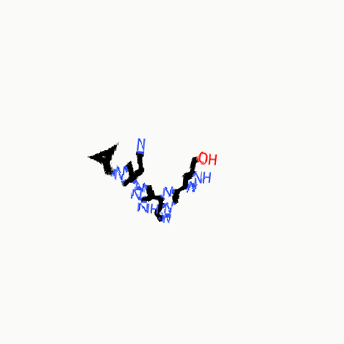 N#CCC1(n2cc(-c3nc(-c4cc(CO)[nH]n4)cn4nccc34)c(N)n2)CN(CC2CC2)C1